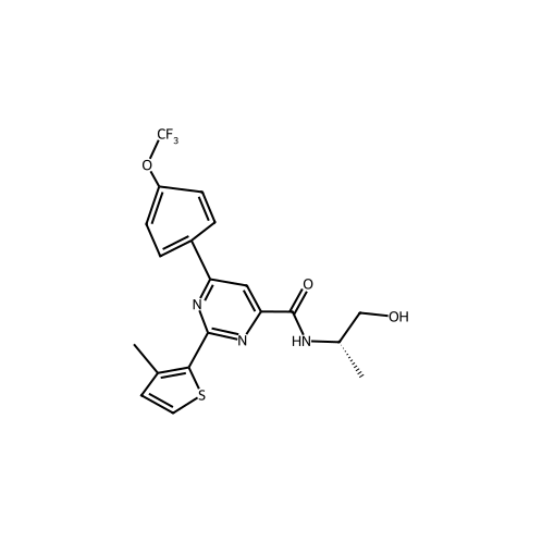 Cc1ccsc1-c1nc(C(=O)N[C@@H](C)CO)cc(-c2ccc(OC(F)(F)F)cc2)n1